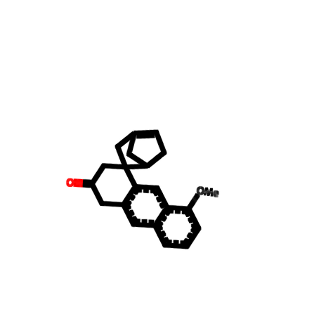 COc1cccc2cc3c(cc12)C1(CC(=O)C3)CC2=CCC1C2